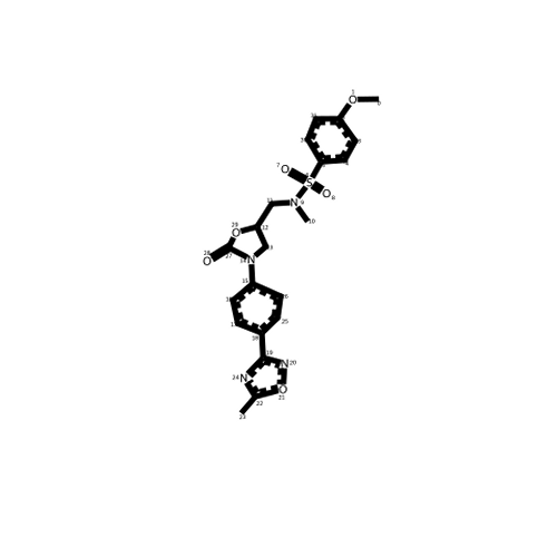 COc1ccc(S(=O)(=O)N(C)CC2CN(c3ccc(-c4noc(C)n4)cc3)C(=O)O2)cc1